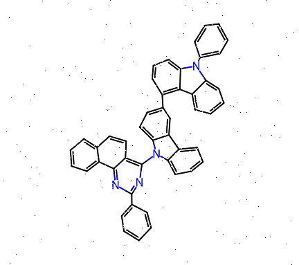 c1ccc(-c2nc(-n3c4ccccc4c4cc(-c5cccc6c5c5ccccc5n6-c5ccccc5)ccc43)c3ccc4ccccc4c3n2)cc1